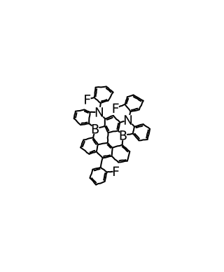 Fc1ccccc1-c1c2cccc3c2c2c4c(cccc14)B1c4ccccc4N(c4ccccc4F)c4cc5c(c-2c41)B3c1ccccc1N5c1ccccc1F